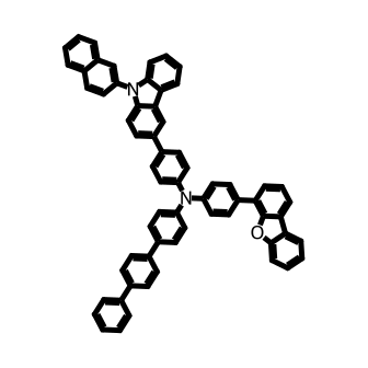 c1ccc(-c2ccc(-c3ccc(N(c4ccc(-c5ccc6c(c5)c5ccccc5n6-c5ccc6ccccc6c5)cc4)c4ccc(-c5cccc6c5oc5ccccc56)cc4)cc3)cc2)cc1